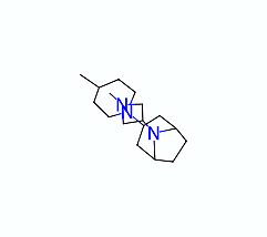 CC1CCN(C2CC3CCC(C2)N3C2CN(C)C2)CC1